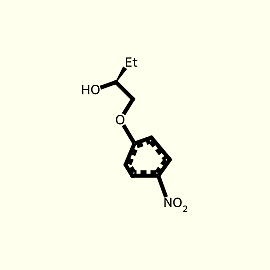 CC[C@H](O)COc1ccc([N+](=O)[O-])cc1